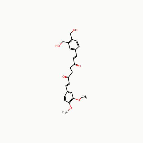 COc1ccc(/C=C/C(=O)CCC(=O)/C=C/c2ccc(CO)c(CO)c2)cc1OC